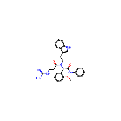 COc1ccccc1C(C(=O)Nc1ccccc1)N(CCc1c[nH]c2ccccc12)C(=O)CCNC(=N)N